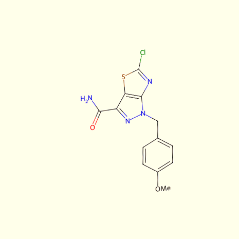 COc1ccc(Cn2nc(C(N)=O)c3sc(Cl)nc32)cc1